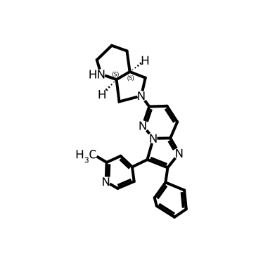 Cc1cc(-c2c(-c3ccccc3)nc3ccc(N4C[C@@H]5CCCN[C@@H]5C4)nn23)ccn1